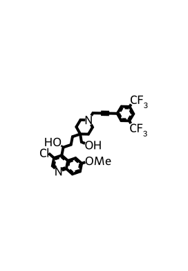 COc1ccc2ncc(Cl)c([C@@H](O)CCC3(CO)CCN(CC#Cc4cc(C(F)(F)F)cc(C(F)(F)F)c4)CC3)c2c1